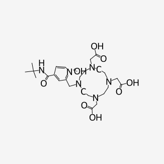 CC(C)(C)NC(=O)c1cc[n+](O)c(CN2CCN(CC(=O)O)CCN(CC(=O)O)CCN(CC(=O)O)CC2)c1